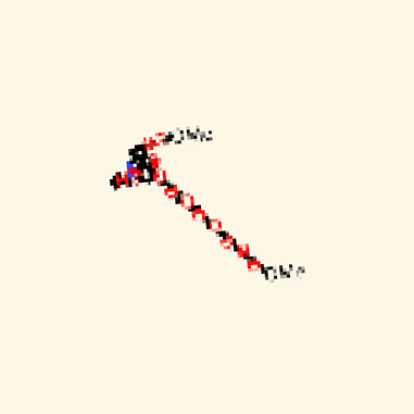 COCCOCCOCCOCCOCCOCCOCCOCCOC1CC[C@@]2(O)C3Cc4ccc(OCOCCOC)c5c4[C@@]2(CCN3CC2CCC2)[C@H]1O5